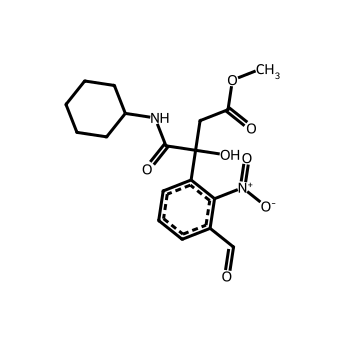 COC(=O)CC(O)(C(=O)NC1CCCCC1)c1cccc(C=O)c1[N+](=O)[O-]